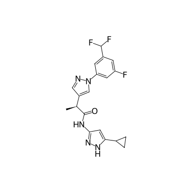 C[C@H](C(=O)Nc1cc(C2CC2)[nH]n1)c1cnn(-c2cc(F)cc(C(F)F)c2)c1